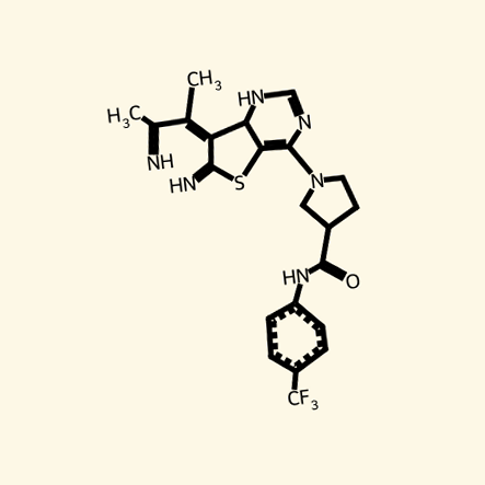 CC(=N)/C(C)=C1\C(=N)SC2=C(N3CCC(C(=O)Nc4ccc(C(F)(F)F)cc4)C3)N=CNC21